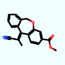 COC(=O)c1ccc2c(c1)OCc1ccccc1/C2=C(/C)C#N